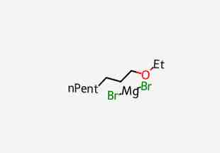 CCCCCCCCOCC.[Br][Mg][Br]